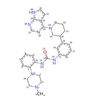 CN1CCN(c2ccccc2NC(=O)Nc2cccc(C3CCCN(c4ncnc5[nH]ccc45)C3)c2)CC1